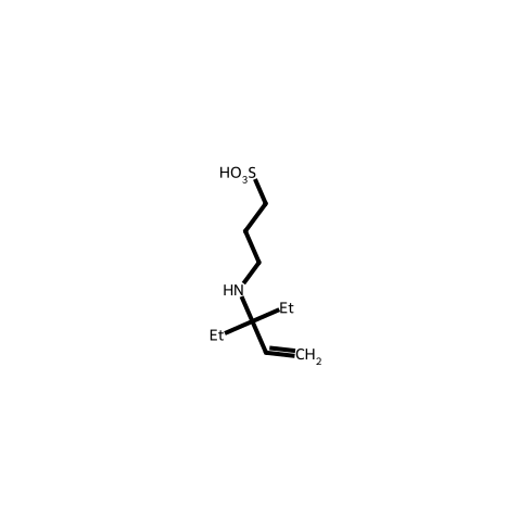 C=CC(CC)(CC)NCCCS(=O)(=O)O